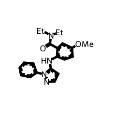 CCN(CC)C(=O)c1cc(OC)ccc1Nc1ccnn1-c1ccccc1